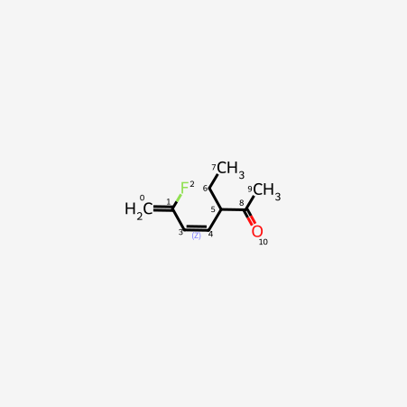 C=C(F)/C=C\C(CC)C(C)=O